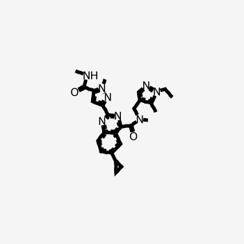 CCn1ncc(CN(C)C(=O)c2nc(-c3cc(C(=O)NC)n(C)n3)nc3ccc(C4CC4)cc23)c1C